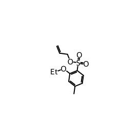 C=CCOS(=O)(=O)c1ccc(C)cc1OCC